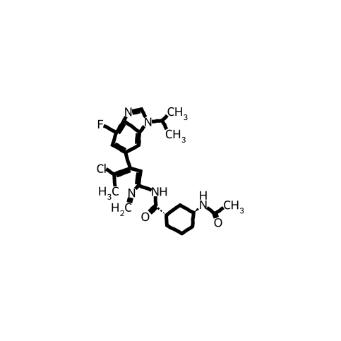 C=N/C(=C\C(=C(/C)Cl)c1cc(F)c2ncn(C(C)C)c2c1)NC(=O)[C@H]1CCC[C@@H](NC(C)=O)C1